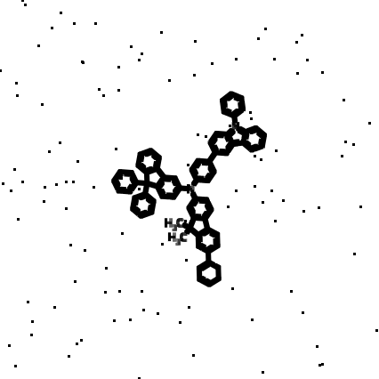 CC1(C)c2cc(C3=CC=CCC3)ccc2-c2ccc(N(c3ccc(-c4ccc5c(c4)c4ccccc4n5-c4ccccc4)cc3)c3ccc4c(c3)-c3ccccc3C4(c3ccccc3)c3ccccc3)cc21